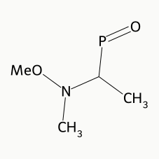 CON(C)C(C)P=O